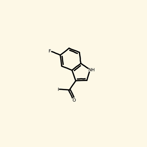 O=C(I)c1c[nH]c2ccc(F)cc12